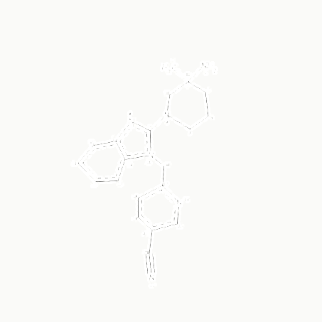 C[C@]1(N)CCCN(c2nc3ccccc3n2Cc2ccc(C#N)cn2)C1